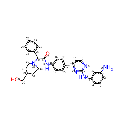 Nc1cccc(Nc2nccc(-c3ccc(NC(=O)C(c4ccccc4)N4CCC(CO)CC4)cc3)n2)c1